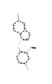 Cc1ccc(Nn2ccc3cc(C)ccc32)c(C=O)c1